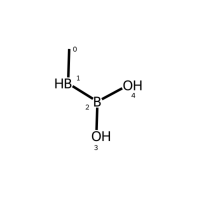 CBB(O)O